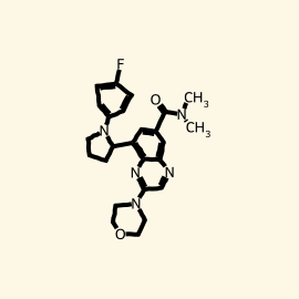 CN(C)C(=O)c1cc(C2CCCN2c2ccc(F)cc2)c2nc(N3CCOCC3)cnc2c1